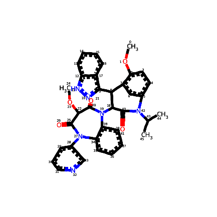 COc1ccc2cc1C(c1n[nH]c3ccccc13)C(N1C(=O)C(OC)C(=O)N(c3cccnc3)c3ccccc31)C(=O)N2C(C)C